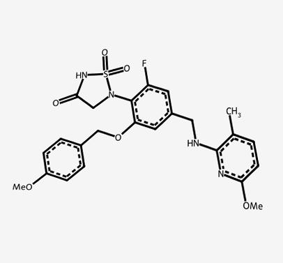 COc1ccc(COc2cc(CNc3nc(OC)ccc3C)cc(F)c2N2CC(=O)NS2(=O)=O)cc1